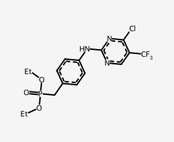 CCOP(=O)(Cc1ccc(Nc2ncc(C(F)(F)F)c(Cl)n2)cc1)OCC